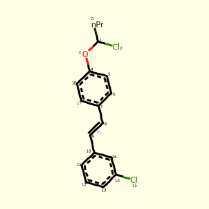 CCCC(Cl)Oc1ccc(/C=C/c2cccc(Cl)c2)cc1